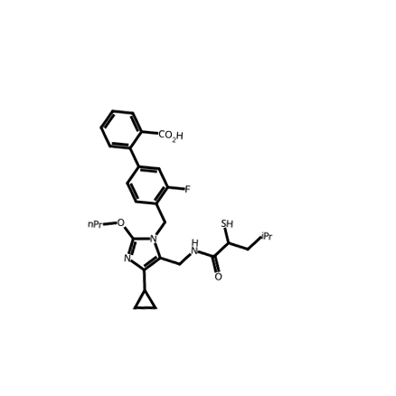 CCCOc1nc(C2CC2)c(CNC(=O)C(S)CC(C)C)n1Cc1ccc(-c2ccccc2C(=O)O)cc1F